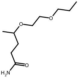 CCCOCCOC(C)CCC(N)=O